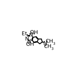 CCc1n[n+](O)c2cc3c(cc2[n+]1O)CC(N(C)C)C3